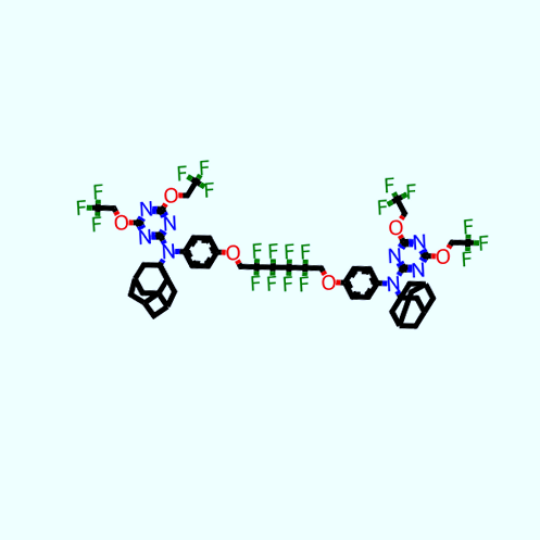 FC(F)(F)COc1nc(OCC(F)(F)F)nc(N(c2ccc(OCC(F)(F)C(F)(F)C(F)(F)C(F)(F)COc3ccc(N(c4nc(OCC(F)(F)F)nc(OCC(F)(F)F)n4)C45CC6CC7CC(C4)C7(C6)C5)cc3)cc2)C23CC4CC(CC(C4)C2)C3)n1